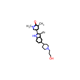 Cc1cc(-c2[nH]c3ccc(C4CCN(CCCO)CC4)cc3c2C(C)C)cn(C)c1=O